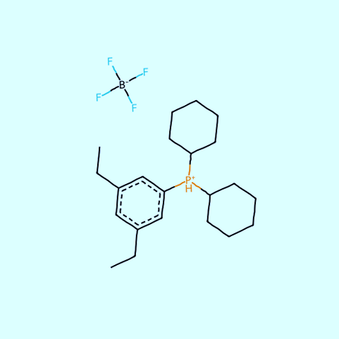 CCc1cc(CC)cc([PH+](C2CCCCC2)C2CCCCC2)c1.F[B-](F)(F)F